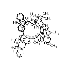 CC[C@H]1OC(=O)[C@H](C)[C@@H](O[C@H]2C[C@@](C)(OC)[C@@H](O)[C@H](C)O2)[C@H](C)[C@@H](O[C@@H]2O[C@H](C)C[C@H](N(C)C)[C@H]2OC(=O)[C@H](CSC(C)(C)C)NC(=O)OCC2c3ccccc3-c3ccccc32)[C@](C)(O)C[C@@H](C)CN(C)[C@H](C)[C@@H](O)[C@]1(C)O